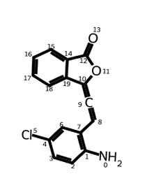 Nc1ccc(Cl)cc1C=C=C1OC(=O)c2ccccc21